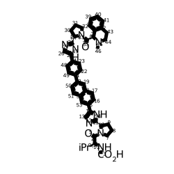 CC(C)[C@H](NC(=O)O)C(=O)N1CCC[C@H]1c1ncc(-c2ccc3cc(-c4ccc(-c5cnc([C@@H]6CCCN6C(=O)[C@H]6c7ccccc7CCN6C)[nH]5)cc4)ccc3c2)[nH]1